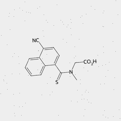 CN(CC(=O)O)C(=S)c1ccc(C#N)c2ccccc12